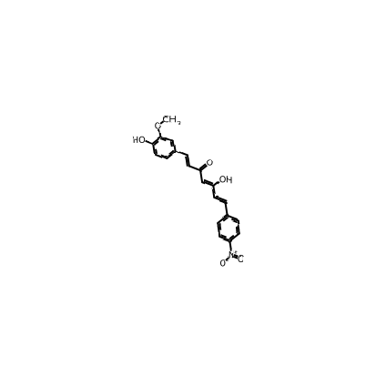 COc1cc(C=CC(=O)C=C(O)C=Cc2ccc([N+](=O)[O-])cc2)ccc1O